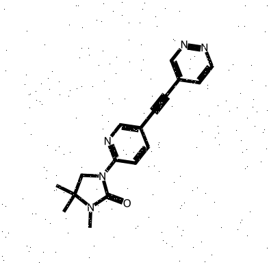 CN1C(=O)N(c2ccc(C#Cc3ccnnc3)cn2)CC1(C)C